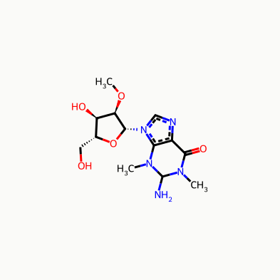 CO[C@@H]1[C@H](O)[C@@H](CO)O[C@H]1n1cnc2c1N(C)C(N)N(C)C2=O